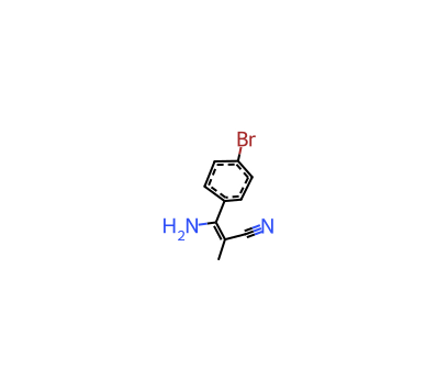 C/C(C#N)=C(\N)c1ccc(Br)cc1